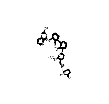 COc1nc(-c2cccc(-c3cccc(Nc4nc(C)nc5cccnc45)c3Cl)c2Cl)ccc1CNC[C@@H]1CCC(=O)N1